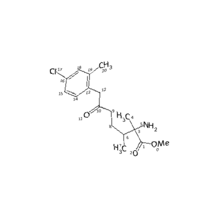 COC(=O)C(C)(N)C(C)CCC(=O)Cc1ccc(Cl)cc1C